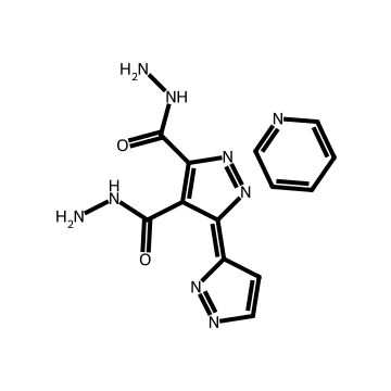 NNC(=O)C1=C(C(=O)NN)C(=C2C=CN=N2)N=N1.c1ccncc1